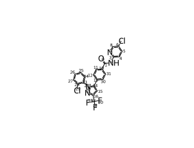 O=C(Nc1ccc(Cl)cn1)c1ccc(-c2cc(C(F)(F)F)nn2-c2ccccc2Cl)cc1